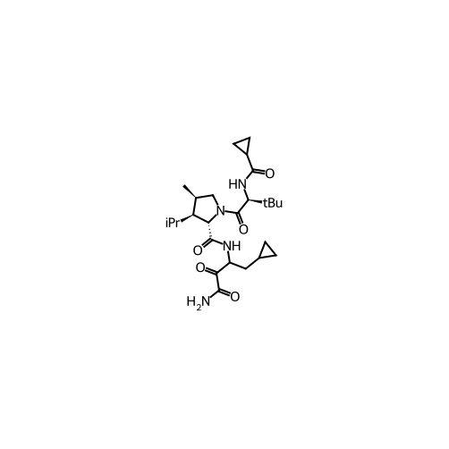 CC(C)[C@@H]1[C@@H](C(=O)NC(CC2CC2)C(=O)C(N)=O)N(C(=O)[C@@H](NC(=O)C2CC2)C(C)(C)C)C[C@@H]1C